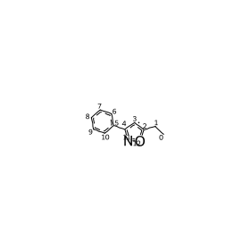 CCc1[c]c(-c2ccccc2)no1